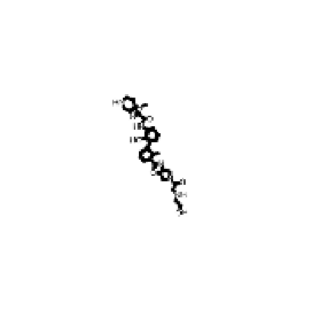 Cc1c(-c2nc3c(o2)CN(C(=O)CNCCO)C3)cccc1-c1cccc(NC(=O)c2nc3c(n2C)CCNC3)c1O